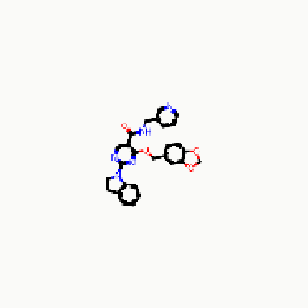 O=C(NCc1cccnc1)c1cnc(N2CCc3ccccc32)nc1OCc1ccc2c(c1)OCO2